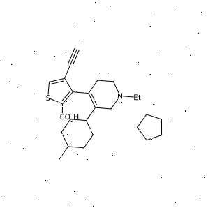 C#Cc1csc(C(=O)O)c1C1=C(C2CCC(C)CC2)CN(CC)CC1.C1CCCC1